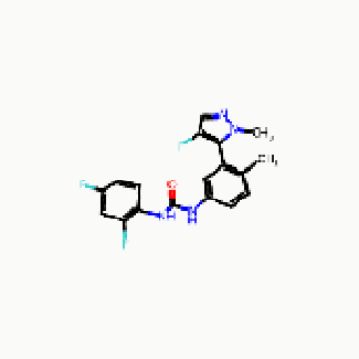 Cc1ccc(NC(=O)Nc2ccc(F)cc2F)cc1-c1c(F)cnn1C